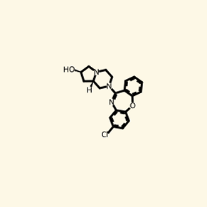 O[C@@H]1C[C@H]2CN(C3=Nc4cc(Cl)ccc4Oc4ccccc43)CCN2C1